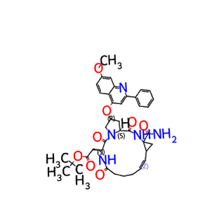 COc1ccc2c(O[C@@H]3C[C@H]4C(=O)NC5(C(N)=O)CC5/C=C\CCCC(=O)N[C@@H](CC(=O)OC(C)(C)C)C(=O)N4C3)cc(-c3ccccc3)nc2c1